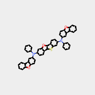 c1ccc(N(c2ccc3c(c2)oc2c4ccc(N(c5ccccc5)c5ccc6oc7ccccc7c6c5)cc4sc32)c2ccc3oc4ccccc4c3c2)cc1